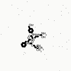 C[Si](C)(C)CCOC(=O)N[C@@H](Cc1ccccc1)C(=O)N[C@@H](CCCNC(N)O)C(=O)Nc1ccc(CO)cc1